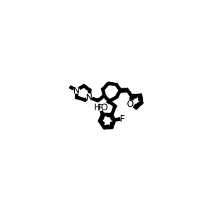 CN1CCN(CC2CCC/C(=C/c3ccco3)CC2(O)Cc2c(F)cccc2F)CC1